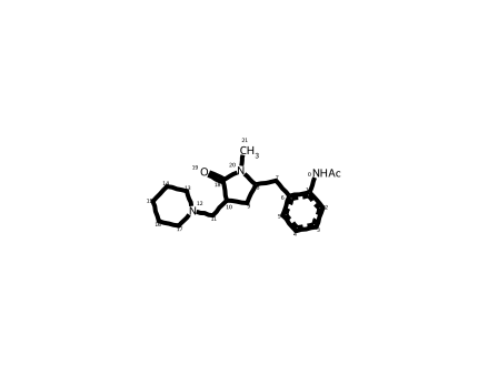 CC(=O)Nc1ccccc1CC1CC(CN2CCCCC2)C(=O)N1C